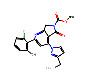 CC(C)(C)OC(=O)N1Cc2nc(-c3c(F)cccc3C#N)cc(-n3ccc(CC(=O)O)n3)c2C1=O